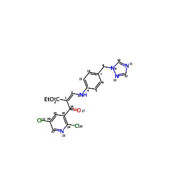 CCOC(=O)C(=CNc1ccc(Cn2cncn2)cc1)C(=O)c1cc(Cl)cnc1Cl